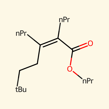 CCCOC(=O)C(CCC)=C(CCC)CCC(C)(C)C